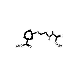 COC(=O)c1cccc(OCCNNC(=O)OC(C)(C)C)c1